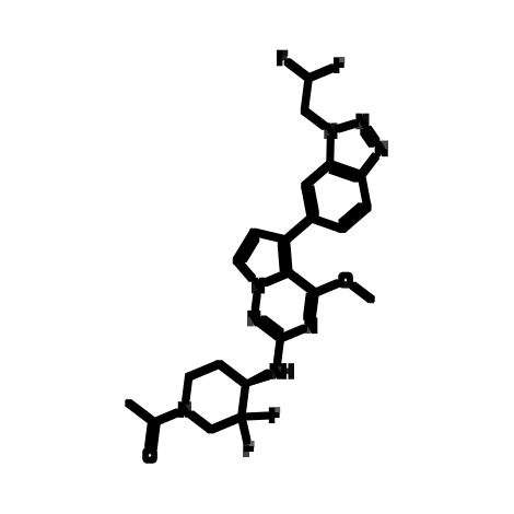 COc1nc(N[C@@H]2CCN(C(C)=O)CC2(F)F)nn2ccc(-c3ccc4nnn(CC(F)F)c4c3)c12